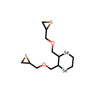 C1C[Se]C(COCC2CS2)C(COCC2CS2)[Se]1